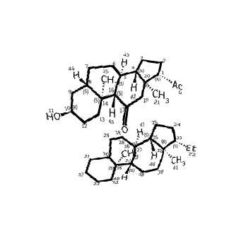 CC(=O)[C@H]1CC[C@H]2[C@@H]3CC[C@H]4C[C@H](O)CC[C@]4(C)[C@H]3C(=O)C[C@]12C.CC[C@H]1CC[C@H]2[C@@H]3CCC4CCCC[C@]4(C)[C@H]3CC[C@]12C